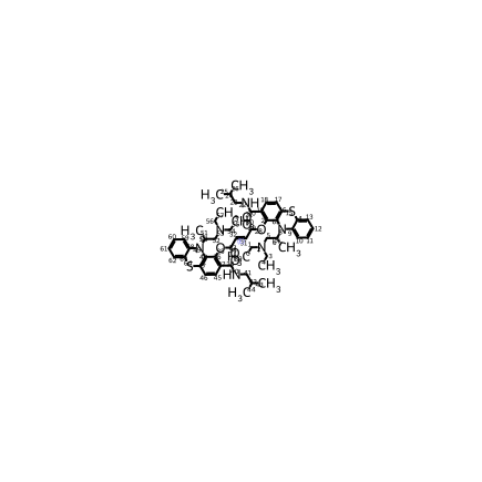 CCN(CC)C[C@H](C)N1c2ccccc2Sc2ccc(C(=O)NCC(C)C)c(OC(=O)/C=C/C(=O)Oc3c(C(=O)NCC(C)C)ccc4c3N([C@@H](C)CN(CC)CC)c3ccccc3S4)c21